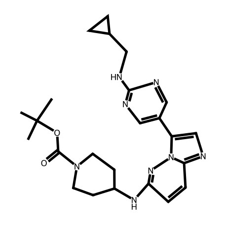 CC(C)(C)OC(=O)N1CCC(Nc2ccc3ncc(-c4cnc(NCC5CC5)nc4)n3n2)CC1